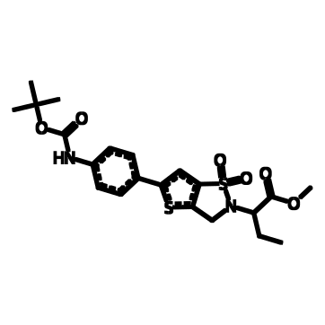 CCC(C(=O)OC)N1Cc2sc(-c3ccc(NC(=O)OC(C)(C)C)cc3)cc2S1(=O)=O